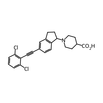 O=C(O)C1CCN(C2CCc3cc(C#Cc4c(Cl)cccc4Cl)ccc32)CC1